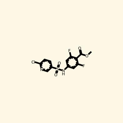 COC(=O)c1c(F)cc(NS(=O)(=O)c2ccc(Cl)nc2)cc1F